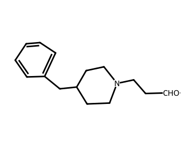 O=[C]CCN1CCC(Cc2ccccc2)CC1